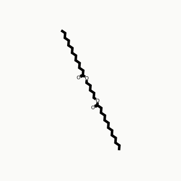 CCCCCCCCCCCCC(=O)OCCCCCOC(=O)CCCCCCCCCCCC